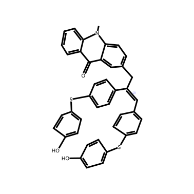 Cn1c2ccccc2c(=O)c2cc(C/C(=C/c3ccc(Sc4ccc(O)cc4)cc3)c3ccc(Sc4ccc(O)cc4)cc3)ccc21